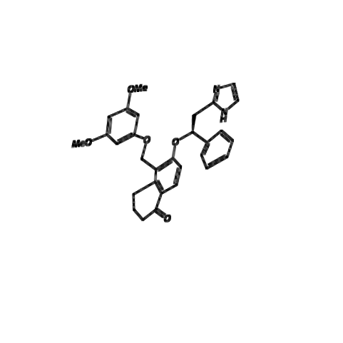 COc1cc(OC)cc(OCc2c(O[C@@H](Cc3ncc[nH]3)c3ccccc3)ccc3c2CCCC3=O)c1